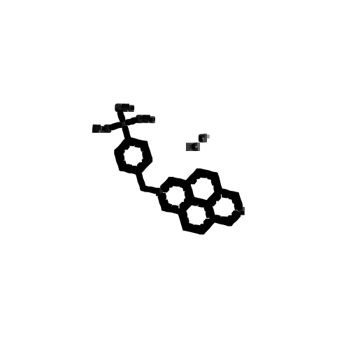 CO[Si](OC)(OC)c1ccc(C[n+]2cc3ccc4cncc5ccc(c2)c3c45)cc1.Cl.[Cl-]